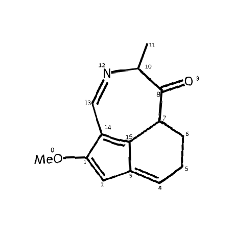 COC1=CC2=CCCC3C(=O)C(C)N=CC1=C23